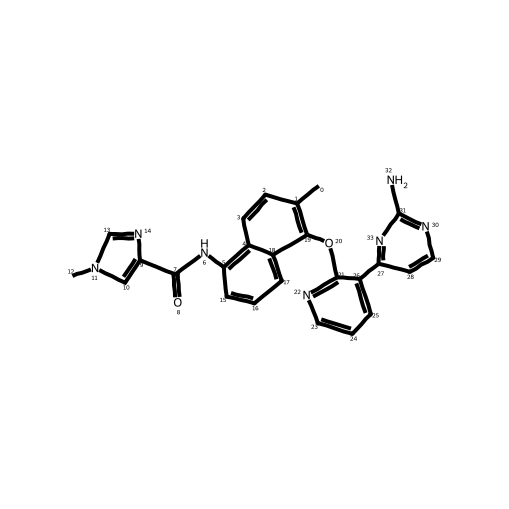 Cc1ccc2c(NC(=O)c3cn(C)cn3)cccc2c1Oc1ncccc1-c1ccnc(N)n1